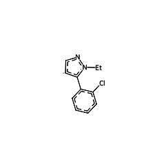 CCn1nc[c]c1-c1ccccc1Cl